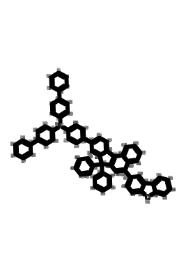 c1ccc(-c2ccc(N(c3ccc(-c4ccccc4)cc3)c3ccc(-c4ccc5c(c4)C(c4ccccc4)(c4ccccc4)c4cc(-c6ccc7oc8ccccc8c7c6)c6ccccc6c4-5)cc3)cc2)cc1